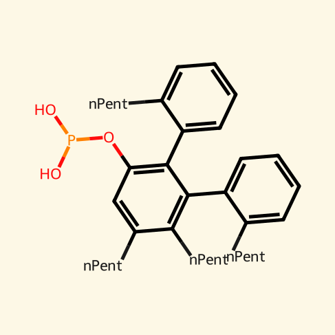 CCCCCc1ccccc1-c1c(OP(O)O)cc(CCCCC)c(CCCCC)c1-c1ccccc1CCCCC